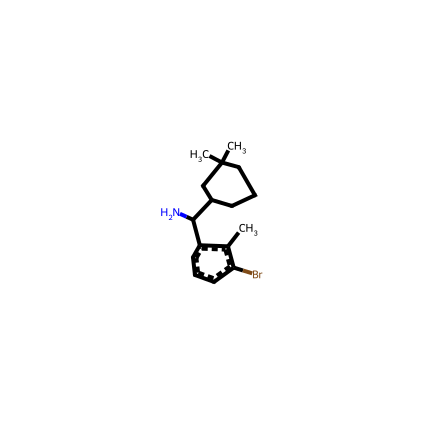 Cc1c(Br)cccc1C(N)C1CCCC(C)(C)C1